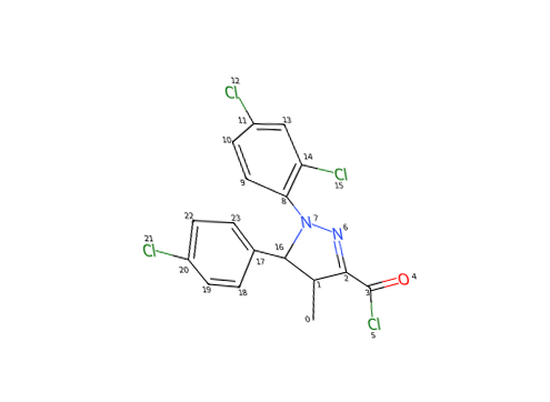 CC1C(C(=O)Cl)=NN(c2ccc(Cl)cc2Cl)C1c1ccc(Cl)cc1